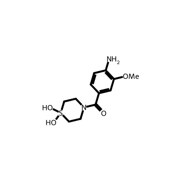 COc1cc(C(=O)N2CCS(O)(O)CC2)ccc1N